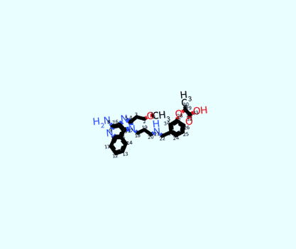 COCCc1nc2c(N)nc3ccccc3c2n1CCCNCc1cccc(OC(C)C(=O)O)c1